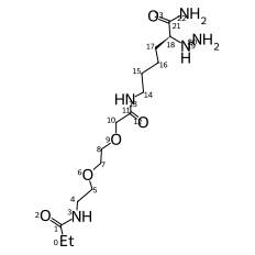 CCC(=O)NCCOCCOCC(=O)NCCCC[C@H](NN)C(N)=O